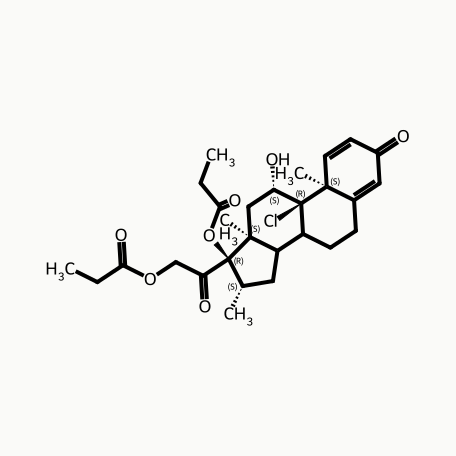 CCC(=O)OCC(=O)[C@@]1(OC(=O)CC)[C@@H](C)CC2C3CCC4=CC(=O)C=C[C@]4(C)[C@@]3(Cl)[C@@H](O)C[C@@]21C